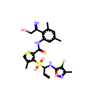 C=CC(Nc1onc(C)c1Cl)S(=O)(=O)c1c(C)csc1C(=O)Nc1cc(C)cc(C)c1C(=N)CO